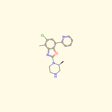 Cc1c(Cl)cc(-c2ccccn2)c2oc(N3CCNC[C@@H]3C)nc12